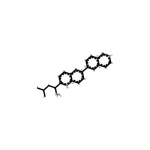 CC(C)CC(N)c1ccc2cc(-c3ccc4cnccc4c3)ccc2n1